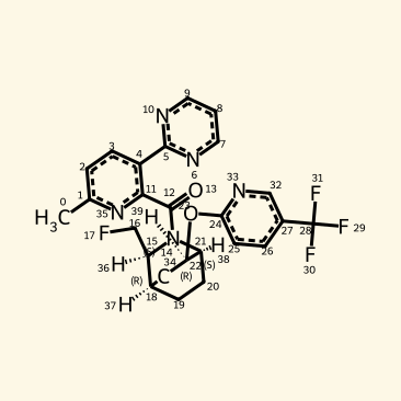 Cc1ccc(-c2ncccn2)c(C(=O)N2[C@H](CF)[C@@H]3CC[C@H]2[C@H](Oc2ccc(C(F)(F)F)cn2)C3)n1